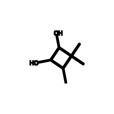 CC1C(O)C(O)C1(C)C